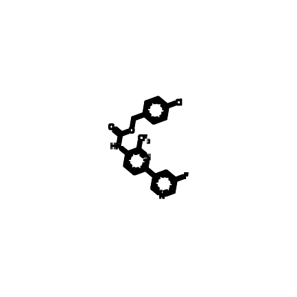 O=C(Nc1ccc(-c2cncc(F)c2)nc1C(F)(F)F)OCc1ccc(Cl)cc1